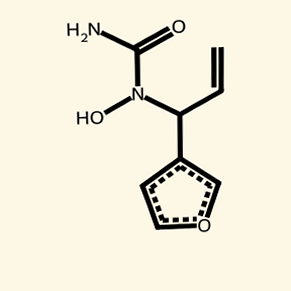 C=CC(c1ccoc1)N(O)C(N)=O